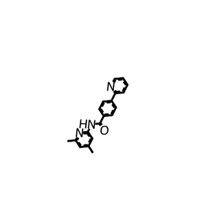 Cc1cc(C)nc(NC(=O)c2ccc(-c3ccccn3)cc2)c1